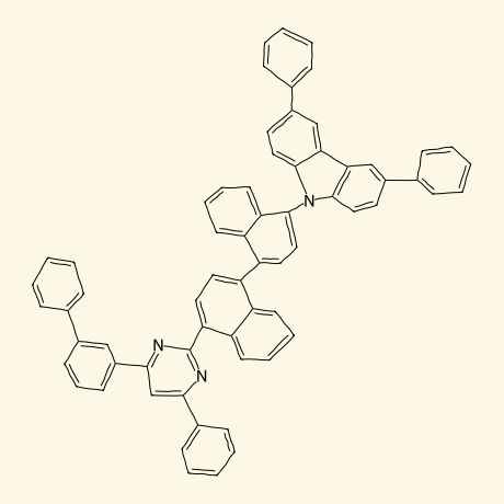 c1ccc(-c2cccc(-c3cc(-c4ccccc4)nc(-c4ccc(-c5ccc(-n6c7ccc(-c8ccccc8)cc7c7cc(-c8ccccc8)ccc76)c6ccccc56)c5ccccc45)n3)c2)cc1